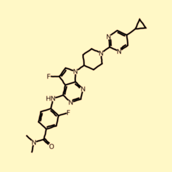 CN(C)C(=O)c1ccc(Nc2ncnc3c2c(F)cn3C2CCN(c3ncc(C4CC4)cn3)CC2)c(F)c1